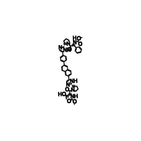 COC(=O)N[C@H](C(=O)N1CCC[C@H]1c1ncc(-c2ccc3cc(-c4ccc(-c5cnc([C@@H]6CCCN6C(=O)[C@H](NC(=O)OC)c6ccccc6)[nH]5)cc4)ccc3c2)[nH]1)[C@@H](C)O